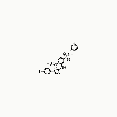 COc1ccc(S(=O)(=O)NCc2cccnc2)cc1Nc1ncc(-c2ccc(F)cc2)o1